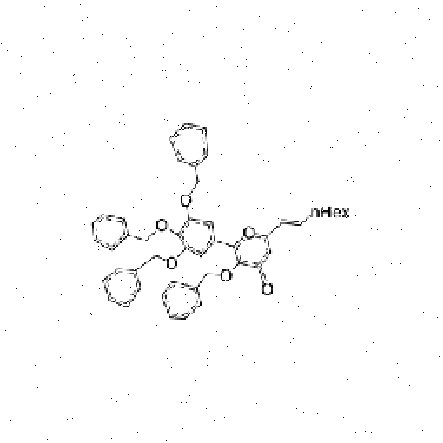 CCCCCCC=Cc1cc(=O)c(OCc2ccccc2)c(-c2cc(OCc3ccccc3)c(OCc3ccccc3)c(OCc3ccccc3)c2)o1